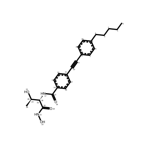 CCCCCc1ccc(C#Cc2ccc(C(=O)N[C@H](C(=O)NO)[C@@H](C)O)cc2)cc1